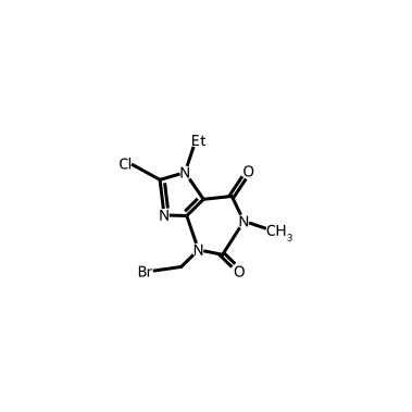 CCn1c(Cl)nc2c1c(=O)n(C)c(=O)n2CBr